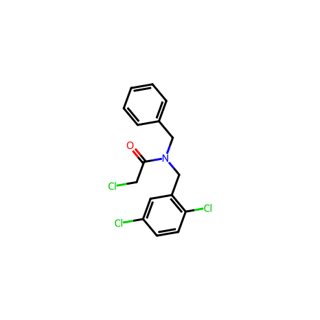 O=C(CCl)N(Cc1ccccc1)Cc1cc(Cl)ccc1Cl